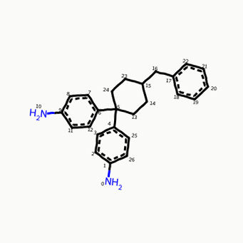 Nc1ccc(C2(c3ccc(N)cc3)CCC(Cc3ccccc3)CC2)cc1